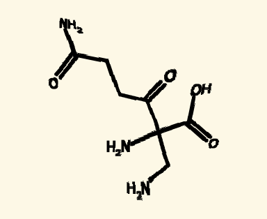 NCC(N)(C(=O)O)C(=O)CCC(N)=O